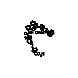 COc1cc(/C(F)=C/c2cccc(-c3cccc(NC(=O)c4nc5c(n4C)CCN(CCC46CCC(C(=O)O)(CC4)C6)C5)c3Cl)c2Cl)ncc1CNC12CC3CC(CC(C3)C1)C2